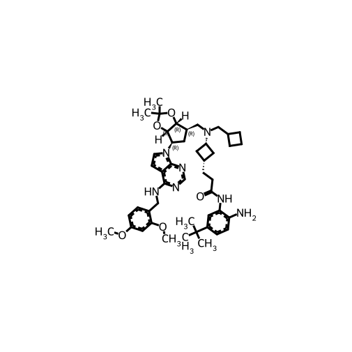 COc1ccc(CNc2ncnc3c2ccn3[C@@H]2C[C@H](CN(CC3CCC3)[C@H]3C[C@@H](CCC(=O)Nc4cc(C(C)(C)C)ccc4N)C3)[C@H]3OC(C)(C)O[C@H]32)c(OC)c1